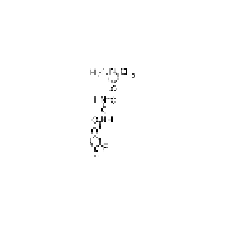 Cc1cc(OCC(=O)NC23CC(NC(=O)COc4ccc(Cl)c(F)c4)(C2)C3)cc(C)n1